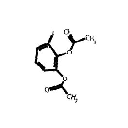 CC(=O)Oc1[c]ccc(I)c1OC(C)=O